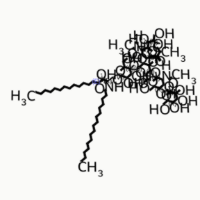 CCCCCCCCCCCCC/C=C/[C@H](O)[C@@H](CO[C@@H]1OC(CO)[C@@H](O[C@@H]2OC(CO)[C@H](O[C@@H]3OC(CO)[C@H](O)C(O[C@@H]4OC(CO)[C@H](O)C(O)C4O)C3NC(C)=O)C(O[C@]3(C(=O)C(C)C)CC(O)[C@@H](NC(C)=O)C([C@H](O)[C@H](O)CO)O3)C2O)C(O)C1O)NC(=O)CCCCCCCCCCCCCCCCC